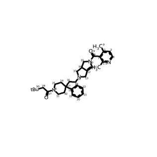 Cc1ccnc(C)c1C(=O)N1C=C2CN(CCC3(c4ccccc4)CCN(C(=O)CC(C)(C)C)CC3)CC2C1